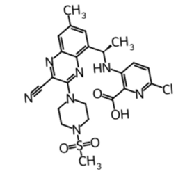 Cc1cc([C@@H](C)Nc2ccc(Cl)nc2C(=O)O)c2nc(N3CCN(S(C)(=O)=O)CC3)c(C#N)nc2c1